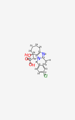 CC(C)c1nc2c(n1Cc1ccc(Cl)cc1)C(O)(CC(=O)O)CCCC2